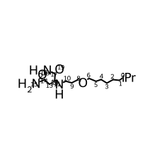 CC(C)CCCCCCOCCCN[C@@H](CC(N)=O)C(N)=O